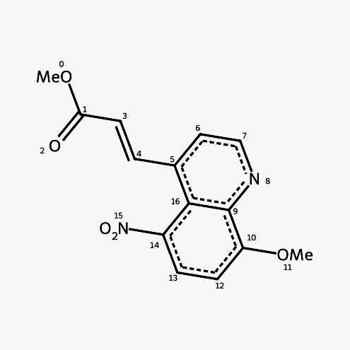 COC(=O)C=Cc1ccnc2c(OC)ccc([N+](=O)[O-])c12